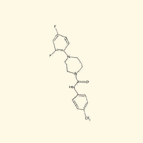 Cc1ccc(NC(=O)N2CCN(c3ccc(F)cc3F)CC2)cc1